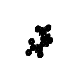 c1ccc(-c2cc(-c3ccccc3)cc(-c3nc(-c4ccccc4)nc(-c4ccc5c(c4)Sc4ccccc4C54c5ccccc5-c5c(-c6nc(-c7ccccc7)nc(-c7ccccc7)n6)cccc54)n3)c2)cc1